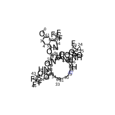 COc1ccc2c(O[C@@H]3C[C@H]4C(=O)N[C@]5(C(=O)NS(=O)(=O)C6(CF)CC6)C[C@H]5/C=C\CC[C@H](C)C[C@@H](C)[C@H](NC(=O)OC(C)(C)C(F)(F)F)C(=O)N4C3)ncc(C(F)(F)F)c2c1